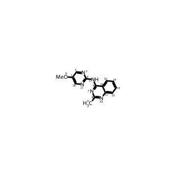 COc1cnc(Nc2nc(C)nc3ccccc23)nc1